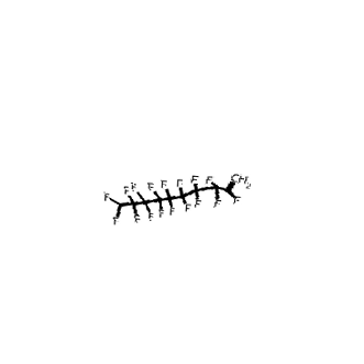 C=C(F)C(F)(F)C(F)(F)C(F)(F)C(F)(F)C(F)(F)C(F)(F)C(F)(F)C(F)F